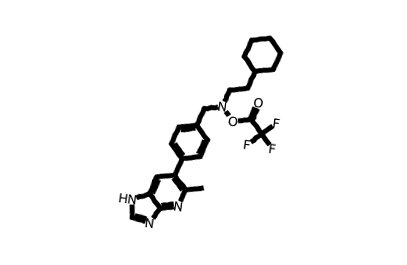 Cc1nc2nc[nH]c2cc1-c1ccc(CN(CCC2CCCCC2)OC(=O)C(F)(F)F)cc1